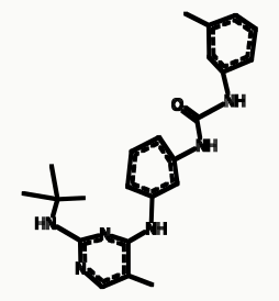 Cc1cccc(NC(=O)Nc2cccc(Nc3nc(NC(C)(C)C)ncc3C)c2)c1